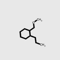 CCCC1CCCCC1COC